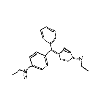 CCN=C1C=CC(=C(c2ccccc2)c2ccc(NCC)cc2)C=C1